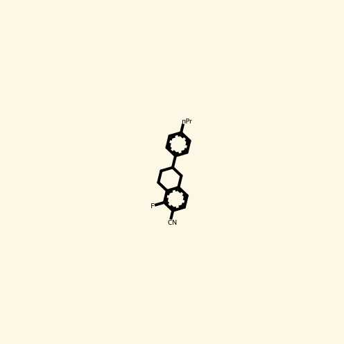 CCCc1ccc(C2CCc3c(ccc(C#N)c3F)C2)cc1